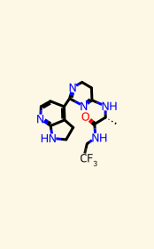 C[C@@H](NC1=NC(c2ccnc3c2CCN3)=NCC1)C(=O)NCC(F)(F)F